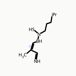 C/C(C=N)=C/BN(S)CCCC(C)C